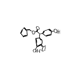 O=C(OCc1ccccc1)C(c1ccc(O)cc1)c1ccc(O)c(Cl)c1